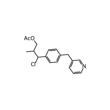 CC(=O)OCC(C)C(Cl)c1ccc(Cc2cccnc2)cc1